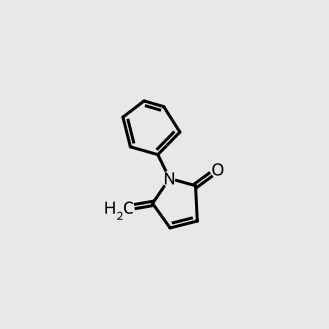 C=C1C=CC(=O)N1c1ccccc1